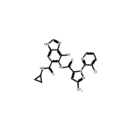 O=C(NC1CC1)c1cc2[nH]cnc2c(Cl)c1NC(=O)c1cc(C(F)(F)F)nn1-c1ncccc1Cl